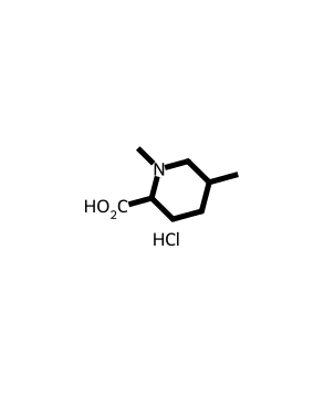 CC1CCC(C(=O)O)N(C)C1.Cl